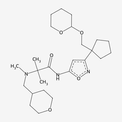 CN(CC1CCOCC1)C(C)(C)C(=O)Nc1cc(C2(COC3CCCCO3)CCCC2)no1